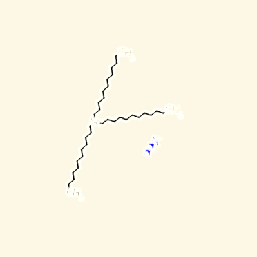 CCCCCCCCCCC[CH2][Sn+]([CH2]CCCCCCCCCCC)[CH2]CCCCCCCCCCC.[N-]=[N+]=[N-]